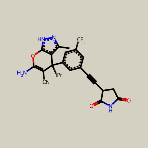 Cc1n[nH]c2c1C(c1cc(C#CC3CC(=O)NC3=O)cc(C(F)(F)F)c1)(C(C)C)C(C#N)=C(N)O2